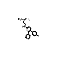 CN(C)CCNc1ncc(-c2ccc(F)cc2)c(-c2ccncc2)n1